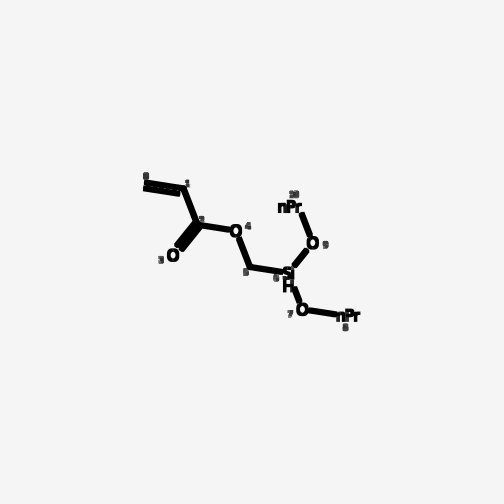 C=CC(=O)OC[SiH](OCCC)OCCC